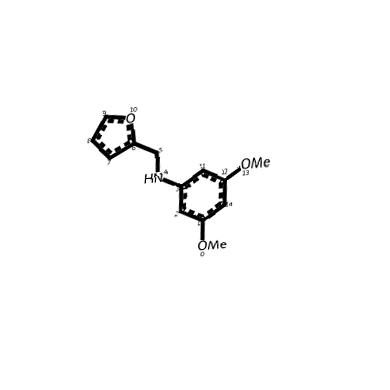 COc1cc(NCc2ccco2)cc(OC)c1